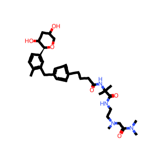 Cc1ccc([C@@H]2OCC(O)CC2O)cc1Cc1ccc(CCCC(=O)NC(C)(C)C(=O)NCCN(C)CC(=O)N(C)C)cc1